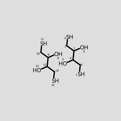 OC(CS)C(O)CS.OC(CS)C(O)CS